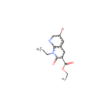 CCOC(=O)c1cc2cc(Br)cnc2n(CC)c1=O